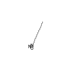 CCCCCCCCCCCCCCCCCCCCCCN1CN(C)c2ccccc21